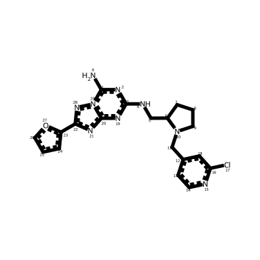 Nc1nc(NCC2CCCN2Cc2ccnc(Cl)c2)nc2nc(-c3ccco3)nn12